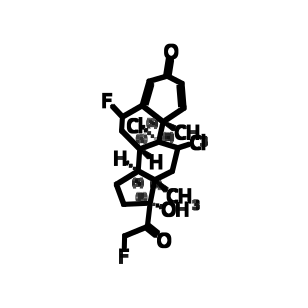 C[C@]12C=CC(=O)C=C1C(F)C[C@H]1[C@@H]3CC[C@](O)(C(=O)CF)[C@@]3(C)CC(Cl)[C@@]12Cl